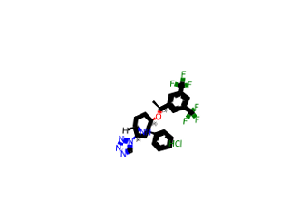 C[C@H](O[C@@H]1CC[C@@H]2N[C@@]1(c1ccccc1)C[C@H]2n1cnnn1)c1cc(C(F)(F)F)cc(C(F)(F)F)c1.Cl